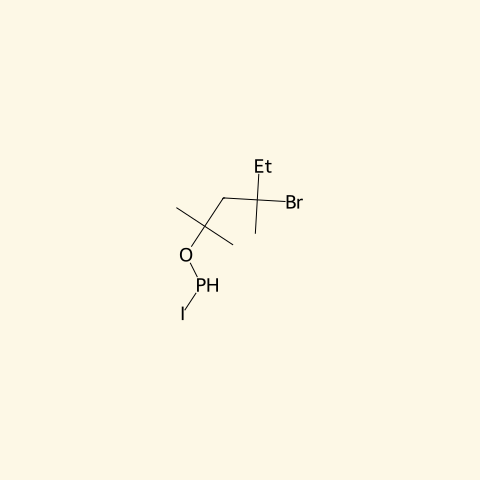 CCC(C)(Br)CC(C)(C)OPI